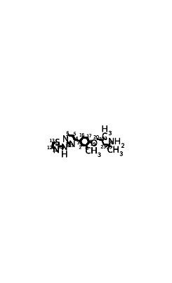 Cc1cc(-c2ccnc(Nc3nccs3)n2)ccc1OCC(C)CC(C)N